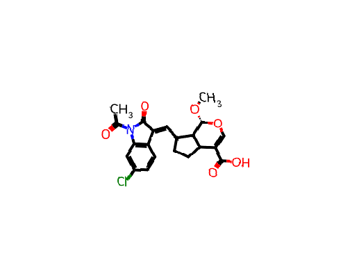 CO[C@@H]1OC=C(C(=O)O)C2CCC(/C=C3/C(=O)N(C(C)=O)c4cc(Cl)ccc43)C21